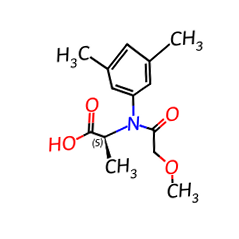 COCC(=O)N(c1cc(C)cc(C)c1)[C@@H](C)C(=O)O